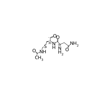 CC(=O)NCSC[C@@H]([C]=O)NC(=O)[C@@H](N)CC(N)=O